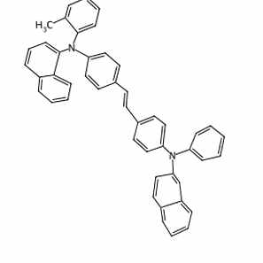 Cc1ccccc1N(c1ccc(/C=C/c2ccc(N(c3ccccc3)c3ccc4ccccc4c3)cc2)cc1)c1cccc2ccccc12